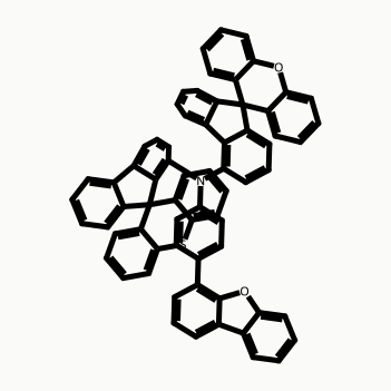 c1ccc2c(c1)Oc1ccccc1C21c2ccccc2-c2c(N(c3ccc(-c4cccc5c4oc4ccccc45)cc3)c3cccc4c3C3(c5ccccc5Sc5ccccc53)c3ccccc3-4)cccc21